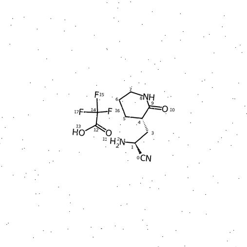 N#C[C@@H](N)C[C@@H]1CCCNC1=O.O=C(O)C(F)(F)F